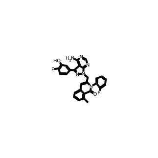 Cc1cccc2cc(Cn3nc(-c4ccc(F)c(O)c4)c4c(N)ncnc43)n(-c3ccccc3F)c(=O)c12